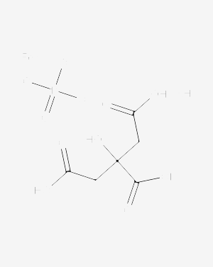 O=C(O)CC(O)(CC(=O)O)C(=O)O.O=P([O-])([O-])[O-].[Fe+3].[KH]